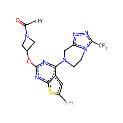 CCCC(=O)N1CC(Oc2nc(N3CCn4c(nnc4C(F)(F)F)C3)c3cc(CCC)sc3n2)C1